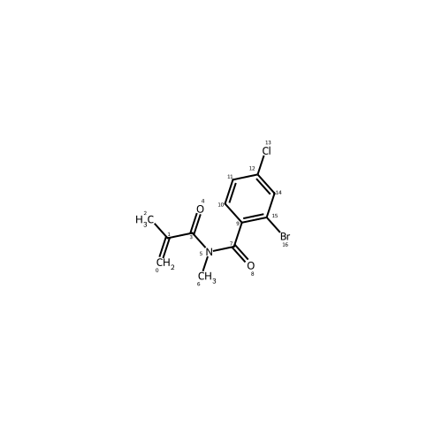 C=C(C)C(=O)N(C)C(=O)c1ccc(Cl)cc1Br